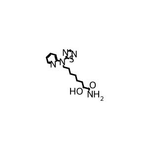 NC(=O)C(O)CCCCCCN(c1ccccn1)c1ncns1